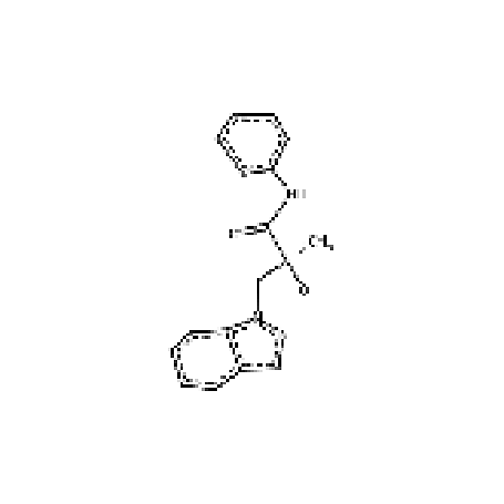 C[C@](O)(Cn1ncc2ccccc21)C(=O)Nc1ccccc1